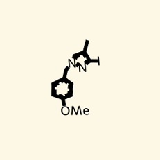 COc1ccc(Cn2cc(C)c(I)n2)cc1